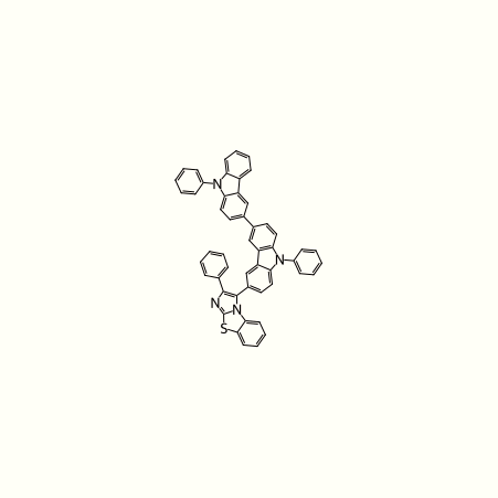 c1ccc(-c2nc3sc4ccccc4n3c2-c2ccc3c(c2)c2cc(-c4ccc5c(c4)c4ccccc4n5-c4ccccc4)ccc2n3-c2ccccc2)cc1